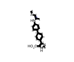 C=N/C=C(/C)Nc1ccc(-c2ccc(-c3nn[nH]c3C(=O)O)cc2)cc1